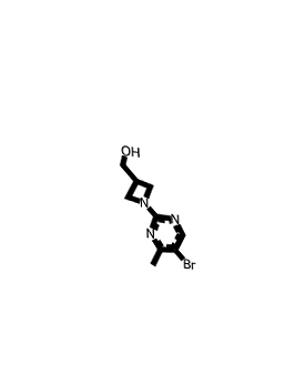 Cc1nc(N2CC(CO)C2)ncc1Br